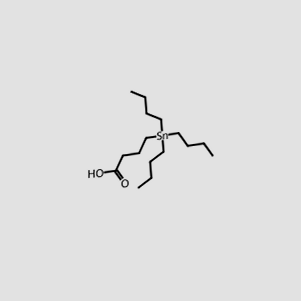 CCC[CH2][Sn]([CH2]CCC)([CH2]CCC)[CH2]CCC(=O)O